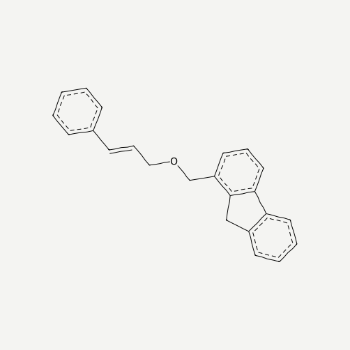 C(=Cc1ccccc1)COCc1cccc2c1Cc1ccccc1-2